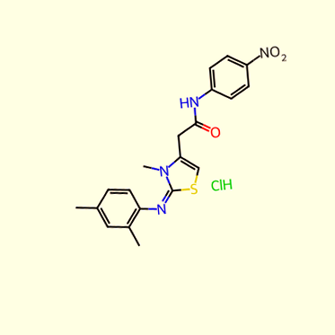 Cc1ccc(/N=c2/scc(CC(=O)Nc3ccc([N+](=O)[O-])cc3)n2C)c(C)c1.Cl